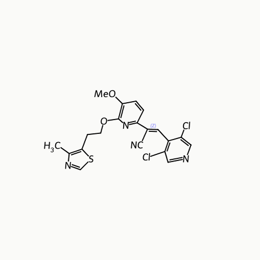 COc1ccc(/C(C#N)=C/c2c(Cl)cncc2Cl)nc1OCCc1scnc1C